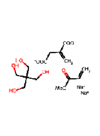 C=C(CC(=O)[O-])C(=O)[O-].C=CC(=O)OC.OCC(CO)(CO)CO.[Na+].[Na+]